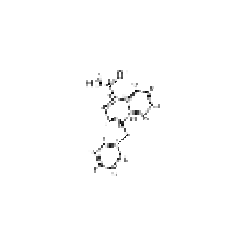 O=C(O)c1ccc(Cc2ccccc2)c2ccccc12